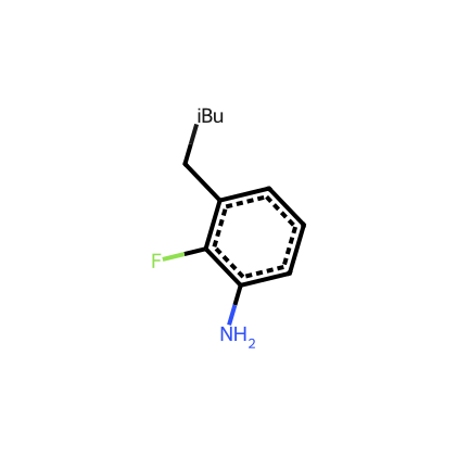 CCC(C)Cc1cccc(N)c1F